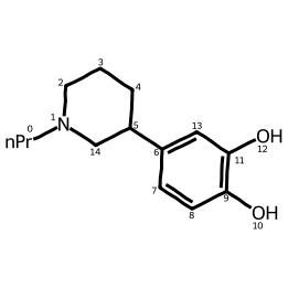 CCCN1CCCC(c2ccc(O)c(O)c2)C1